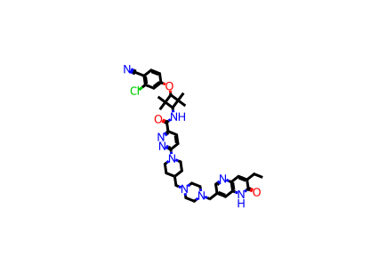 CCc1cc2ncc(CN3CCN(CC4CCN(c5ccc(C(=O)NC6C(C)(C)C(Oc7ccc(C#N)c(Cl)c7)C6(C)C)nn5)CC4)CC3)cc2[nH]c1=O